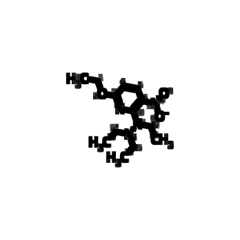 CCOc1ccc([N+](=O)[O-])c(N(CC)N(CC)CC)n1